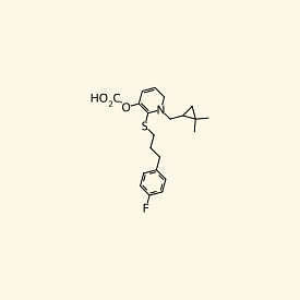 CC1(C)CC1CN1CC=CC(OC(=O)O)=C1SCCCc1ccc(F)cc1